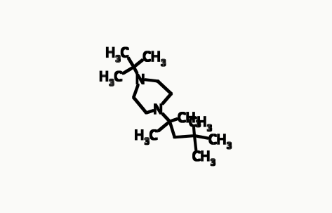 CC(C)(C)CC(C)(C)N1CCN(C(C)(C)C)CC1